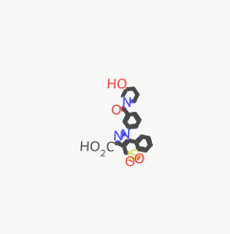 O=C(O)c1nn(-c2cccc(C(=O)N3CCCC(O)C3)c2)c2c1CS(=O)(=O)c1ccccc1-2